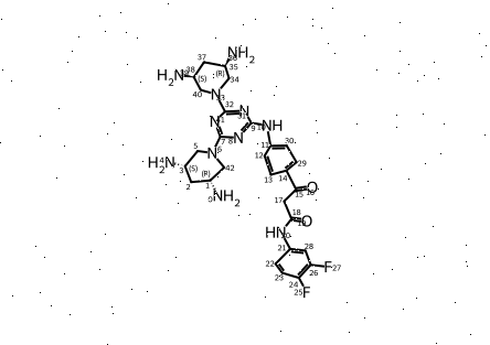 N[C@@H]1C[C@H](N)CN(c2nc(Nc3ccc(C(=O)CC(=O)Nc4ccc(F)c(F)c4)cc3)nc(N3C[C@H](N)C[C@H](N)C3)n2)C1